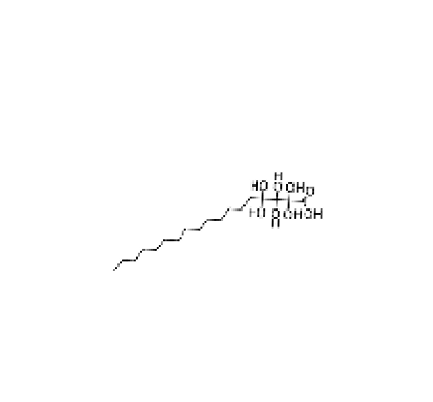 CCCCCCCCCCCCCCC(O)(O)C(O)(O)C(O)(O)C(=O)O